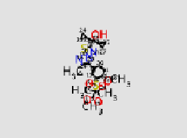 COC(=O)C(C)(C)S(=O)(=O)c1cc(-c2c(C)nc3sc(C(O)(C4CC4)C4CC4)nn23)ccc1OC